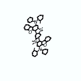 Cc1ccccc1N(c1ccccc1)c1cc2c(c3c1oc1ccccc13)-c1cc3c(cc1[Si]2(C)C)-c1c(cc(N(c2ccccc2)c2ccccc2C)c2c1oc1ccccc12)[Si]3(C)C